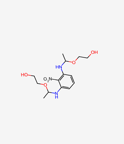 CC(Nc1cccc(NC(C)OCCO)c1[N+](=O)[O-])OCCO